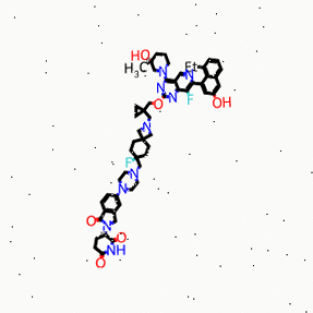 CCc1cccc2cc(O)cc(-c3ncc4c(N5CCC[C@@](C)(O)C5)nc(OCC5(CN6CC7(CCC(F)(CN8CCN(c9ccc%10c(c9)CN([C@H]9CCC(=O)NC9=O)C%10=O)CC8)CC7)C6)CC5)nc4c3F)c12